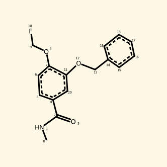 CNC(=O)c1ccc(OCF)c(OCc2ccccc2)c1